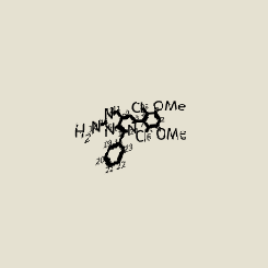 COc1cc(OC)c(Cl)c(-c2cc3cnc(N)nc3c(-c3ccccc3)n2)c1Cl